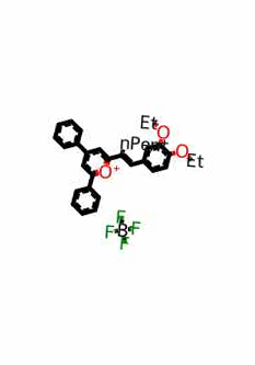 CCCCCC(=Cc1ccc(OCC)c(OCC)c1)c1cc(-c2ccccc2)cc(-c2ccccc2)[o+]1.F[B-](F)(F)F